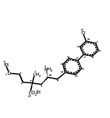 CCOCCC(C)(C[C@H](N)Cc1ccc(-c2cccc(Cl)c2)cc1)C(=O)OCC